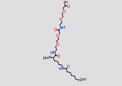 CCCCCCCCCCCCCCCC(=O)NCCCCC(NC)C(=O)NCCOCCOCC(=O)NCCOCCOCC(=O)C(C)C